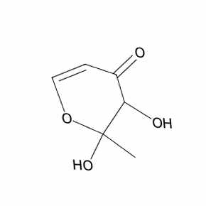 CC1(O)OC=CC(=O)C1O